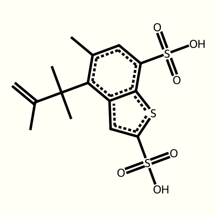 C=C(C)C(C)(C)c1c(C)cc(S(=O)(=O)O)c2sc(S(=O)(=O)O)cc12